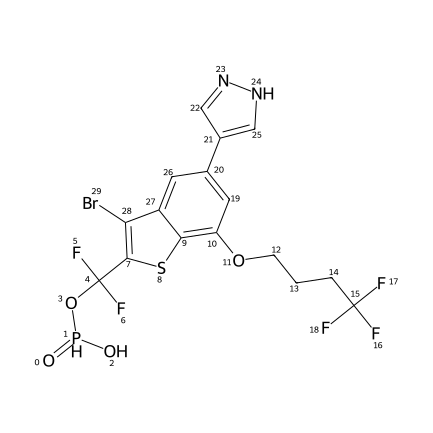 O=[PH](O)OC(F)(F)c1sc2c(OCCCC(F)(F)F)cc(-c3cn[nH]c3)cc2c1Br